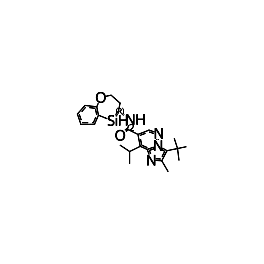 Cc1nc2c(C(C)C)c(C(=O)N[C@H]3CCOc4ccccc4[SiH2]3)cnn2c1C(C)(C)C